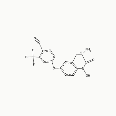 N#Cc1ccc(Oc2ccc3c(c2)C[C@H](N)C(=O)N3O)cc1C(F)(F)F